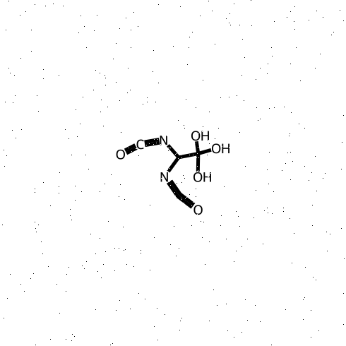 O=C=NC(N=C=O)C(O)(O)O